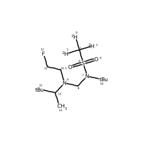 [2H]C([2H])([2H])S(=O)(=O)N(CN(CCF)C(C)C(C)(C)C)C(C)(C)C